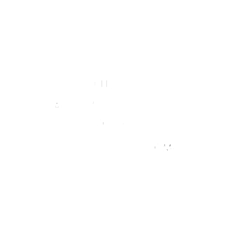 COCCOC(C)C(C)=O